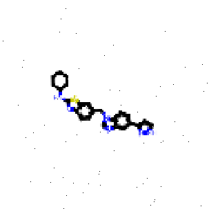 c1cc(-c2ccc3c(c2)ncn3Cc2ccc3nc(NC4CCCCC4)sc3c2)n[nH]1